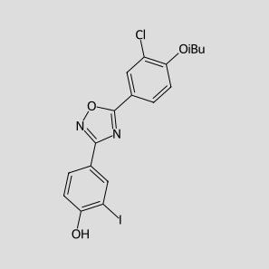 CC(C)COc1ccc(-c2nc(-c3ccc(O)c(I)c3)no2)cc1Cl